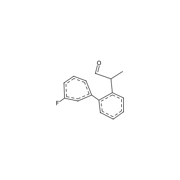 CC(C=O)c1ccccc1-c1cccc(F)c1